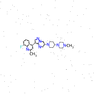 Cc1cc(-c2cnn3cc(N4CCC(N5CCN(C)CC5)CC4)cnc23)c2cccc(F)c2n1